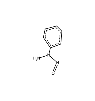 NN(N=O)c1ccccc1